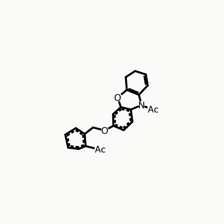 CC(=O)c1ccccc1COc1ccc2c(c1)OC1=C(C=CCC1)N2C(C)=O